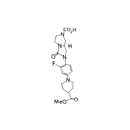 COC(=O)C1CCN(c2ccc(N3C[C@@H]4CN(C(=O)O)CCN4C3=O)c(F)c2)CC1